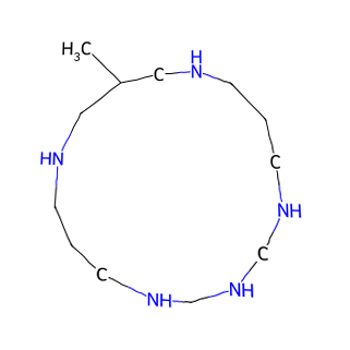 CC1CNCCCNCNCNCCCNC1